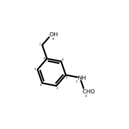 O=CNc1cccc(CO)c1